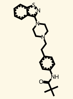 CC(C)(C)C(=O)Nc1ccc(CCN2CCN(c3nsc4ccccc34)CC2)cc1